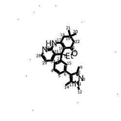 CC[C@]1(c2cccc(-c3c(C)nn(C)c3C)c2)C2=C(CC(C)(C)CC2=O)Nc2ncccc21